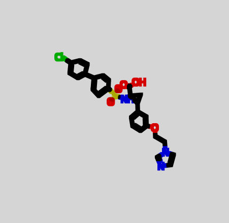 O=C(O)C1(NS(=O)(=O)c2ccc(-c3ccc(Cl)cc3)cc2)CC1c1cccc(OCCn2ccnc2)c1